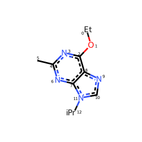 CCOc1nc(C)nc2c1ncn2C(C)C